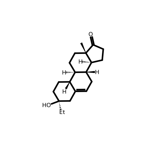 CC[C@]1(O)CC[C@H]2C(=CC[C@@H]3[C@@H]2CC[C@]2(C)C(=O)CC[C@@H]32)C1